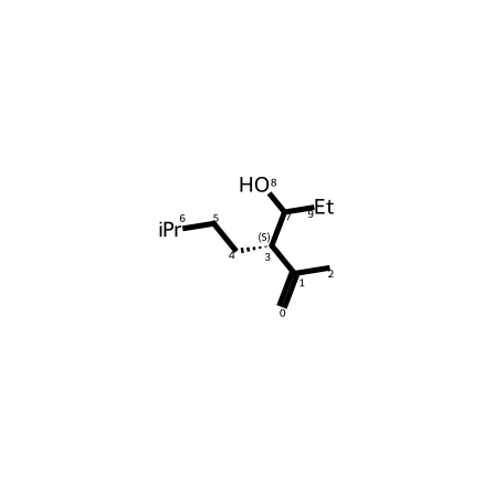 C=C(C)[C@H](CCC(C)C)C(O)CC